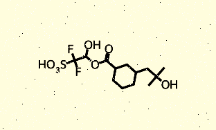 CC(C)(O)CC1CCCC(C(=O)OC(O)C(F)(F)S(=O)(=O)O)C1